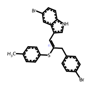 Cc1ccc(S/C(=C/c2c[nH]c3ccc(Br)cc23)Cc2ccc(Br)cc2)cc1